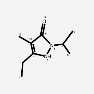 CCc1[nH]n(C(C)C)c(=O)c1C